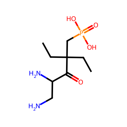 CCC(CC)(CP(=O)(O)O)C(=O)C(N)CN